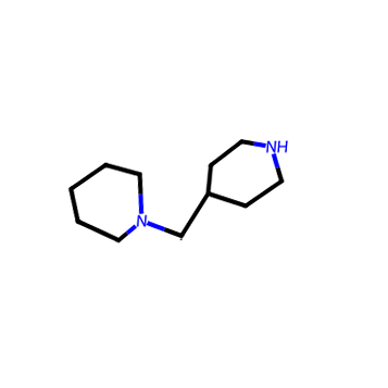 [CH](C1CCNCC1)N1CCCCC1